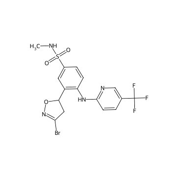 CNS(=O)(=O)c1ccc(Nc2ccc(C(F)(F)F)cn2)c(C2CC(Br)=NO2)c1